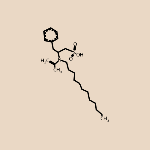 C=C(C)N(CCCCCCCCCCCC)C(Cc1ccccc1)CS(=O)(=O)O